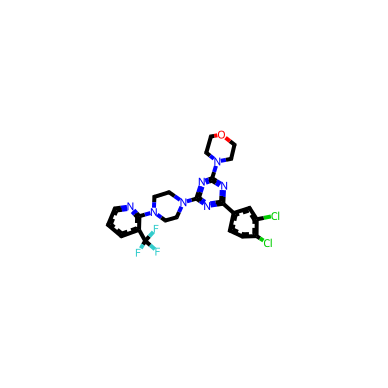 FC(F)(F)c1cccnc1N1CCN(c2nc(-c3ccc(Cl)c(Cl)c3)nc(N3CCOCC3)n2)CC1